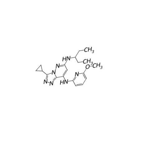 CCC(CC)Nc1cc(Nc2cccc(OC)n2)c2nnc(C3CC3)n2n1